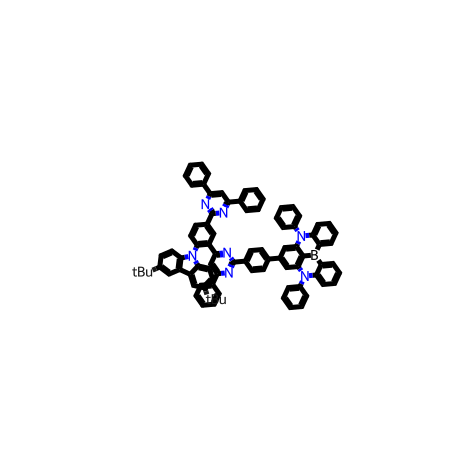 CC(C)(C)c1ccc2c(c1)c1cc(C(C)(C)C)ccc1n2-c1ccc(-c2nc(-c3ccccc3)cc(-c3ccccc3)n2)cc1-c1cc(-c2ccccc2)nc(-c2ccc(-c3cc4c5c(c3)N(c3ccccc3)c3ccccc3B5c3ccccc3N4c3ccccc3)cc2)n1